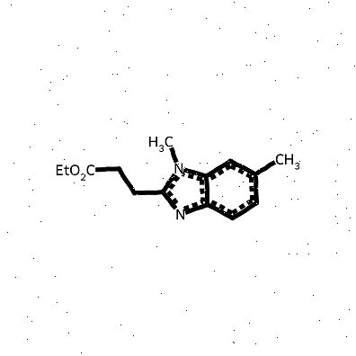 CCOC(=O)CCc1nc2ccc(C)cc2n1C